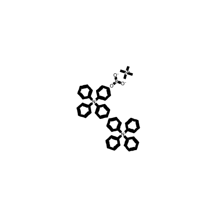 C[N+](C)(C)C.[O-]B([O-])[O-].c1ccc([N+](c2ccccc2)(c2ccccc2)c2ccccc2)cc1.c1ccc([N+](c2ccccc2)(c2ccccc2)c2ccccc2)cc1